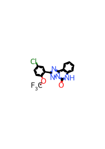 O=c1[nH]c2ccccc2c2nc(-c3cc(Cl)ccc3OC(F)(F)F)nn12